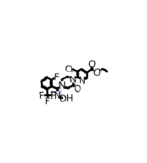 CCOC(=O)c1cnc(N2CCN(/C(=N\O)c3c(F)cccc3C(F)(F)F)CC2=O)c(Cl)c1